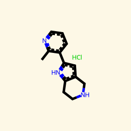 Cc1ncccc1-c1cc2c([nH]1)CCNC2.Cl